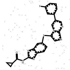 O=C(Nc1nc2ccc(Sc3cnc4ncc(-c5cccc(F)c5)cn34)cc2s1)C1CC1